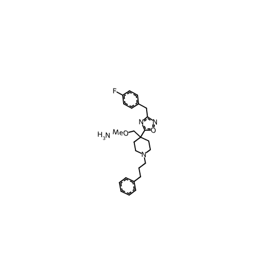 COCC1(c2nc(Cc3ccc(F)cc3)no2)CCN(CCCc2ccccc2)CC1.N